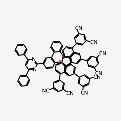 N#Cc1cc(C#N)cc(-c2ccc3c(c2)c2cc(-c4cc(C#N)cc(C#N)c4)ccc2n3-c2ccccc2-c2cc(-c3nc(-c4ccccc4)cc(-c4ccccc4)n3)ccc2-n2c3ccc(-c4cc(C#N)cc(C#N)c4)cc3c3cc(-c4cc(C#N)cc(C#N)c4)ccc32)c1